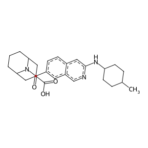 CC1CCC(Nc2cc3ccc(C(=O)N4C5CCCC4CC(C(=O)O)C5)cc3cn2)CC1